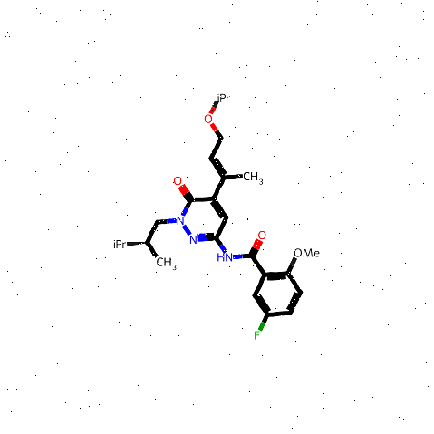 COc1ccc(F)cc1C(=O)Nc1cc(/C(C)=C/COC(C)C)c(=O)n(C[C@@H](C)C(C)C)n1